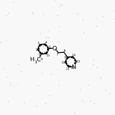 Cc1cccc(OCCc2ccncc2)c1